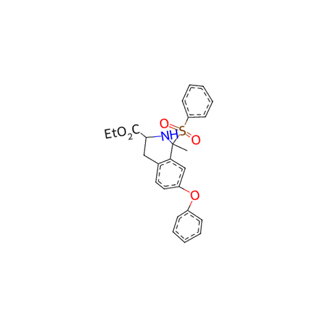 CCOC(=O)C1Cc2ccc(Oc3ccccc3)cc2C(C)(S(=O)(=O)c2ccccc2)N1